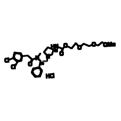 COCCOCCOCCOC(=O)N[C@H]1CCN(C[C@H](c2ccccc2)N(C)C(=O)Cc2ccc(Cl)c(Cl)c2)C1.Cl